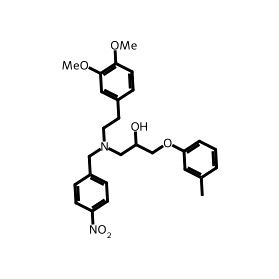 COc1ccc(CCN(Cc2ccc([N+](=O)[O-])cc2)CC(O)COc2cccc(C)c2)cc1OC